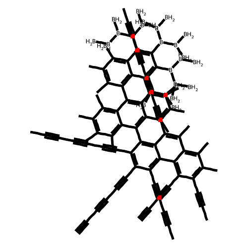 BBB(B)B(B(B)B)c1c(B(B(B)B)B(B)B)c(B(BB)B(B)B)c(B(B)B(B)B)c2c(-c3c4c(C)c(C)c(C)c(C)c4c(-c4c(C#CC#CC#CC)c(C#CC#CC#C)c(C#CC#CC)c5c4c(C#CC#CC#CC#CC)c(C)c4c(C)c(C)c(C#CC)c(C#CC#C)c45)c4c(C)c(C)c(C)c(C)c34)c(C)c(C)c(B)c12